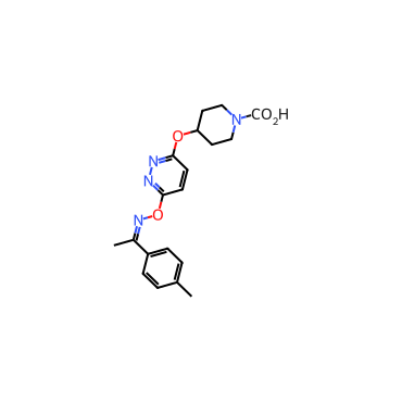 CC(=NOc1ccc(OC2CCN(C(=O)O)CC2)nn1)c1ccc(C)cc1